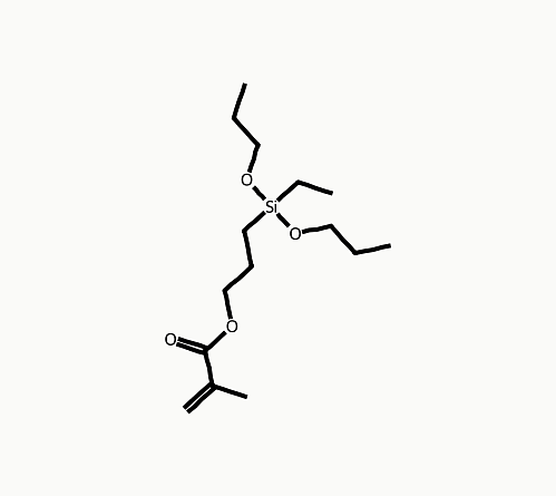 C=C(C)C(=O)OCCC[Si](CC)(OCCC)OCCC